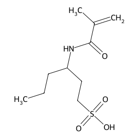 C=C(C)C(=O)NC(CCC)CCS(=O)(=O)O